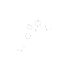 CS(=O)(=O)CC(=O)COc1ccc(-c2n[nH]c3c2C(=O)c2c(NC(=O)NN4CCOCC4)cccc2-3)cc1